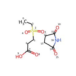 CCS(=O)(=O)CCC(=O)O.O=C1CCC(=O)N1